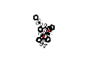 CN(C)C(=O)OC1(C(=O)c2ccccc2OC(=O)OC2CCCCC2)C=CC=CC1C(=O)OOC(=O)C1C=CC=CC1(OC(=O)N(C)C)C(=O)c1ccccc1OC(=O)OC1CCCCC1